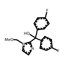 COCn1ccnc1C(O)(c1ccc(F)cc1)c1ccc(F)cc1